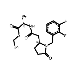 CC(C)CSC(=O)[C@@H](NC(=O)C[C@@H]1CCC(=O)N1Cc1cccc(F)c1F)C(C)C